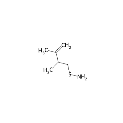 C=C(C)C(C)CSN